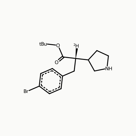 [2H][C@@](Cc1ccc(Br)cc1)(C(=O)OC(C)(C)C)C1CCNC1